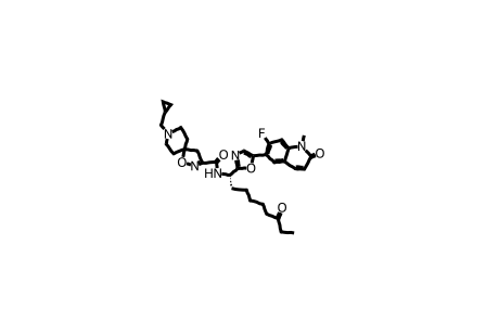 CCC(=O)CCCCC[C@H](NC(=O)C1=NOC2(CCN(CC3CC3)CC2)C1)c1ncc(-c2cc3ccc(=O)n(C)c3cc2F)o1